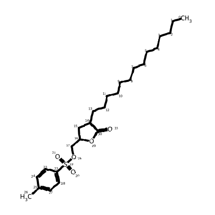 CCCCCCCCCCCCCCC1CC(COS(=O)(=O)c2ccc(C)cc2)OC1=O